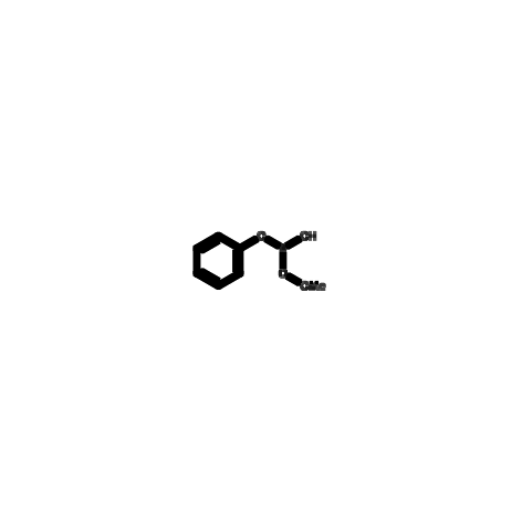 COOB(O)Oc1ccccc1